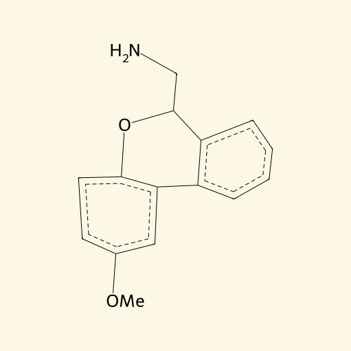 COc1ccc2c(c1)-c1ccccc1C(CN)O2